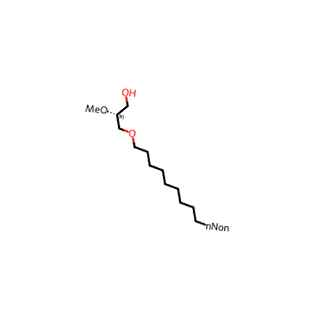 CCCCCCCCCCCCCCCCCCOC[C@@H](CO)OC